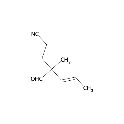 CC=CC(C)(C=O)CCC#N